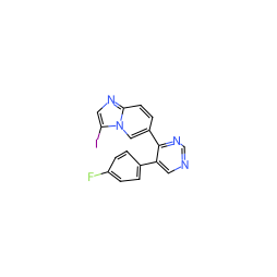 Fc1ccc(-c2cncnc2-c2ccc3ncc(I)n3c2)cc1